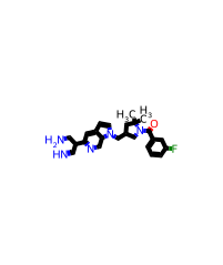 CC1(C)CC(CN2C=CC3=CC(C(C=N)CN)=NCC32)CN1C(=O)C1=CC=CC(F)C1